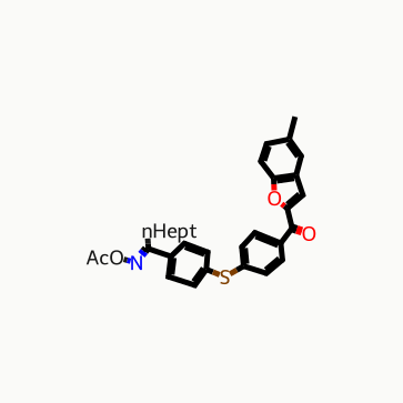 CCCCCCCC(=NOC(C)=O)c1ccc(Sc2ccc(C(=O)c3cc4cc(C)ccc4o3)cc2)cc1